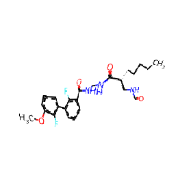 CCCCC[C@H](CNC=O)C(=O)NCNC(=O)c1cccc(-c2cccc(OC)c2F)c1F